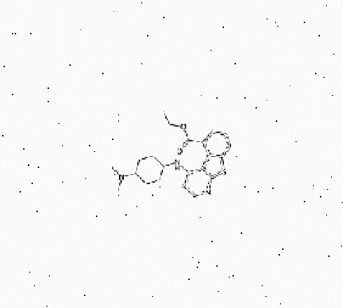 CCOC(=O)c1cccc2sc3ncnc(NC4CCC(N(C)C)CC4)c3c12